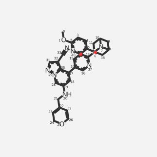 COc1ccc(CN2C3CC2CN(c2ccc(-c4cc(NCC5=CCOC=C5)cn5ncc(C#N)c45)cn2)C3)cn1